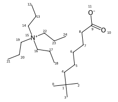 CC(C)(C)CCCCCC(=O)[O-].CCC[N+](CCC)(CCC)CCC